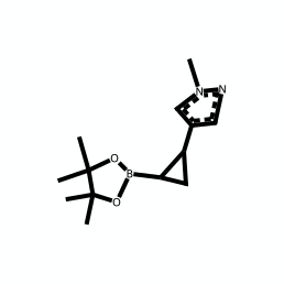 Cn1cc(C2CC2B2OC(C)(C)C(C)(C)O2)cn1